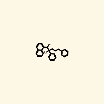 [CH2]C(c1cccc2ccccc12)C(CCCC)(CCCc1ccccc1)c1ccccc1